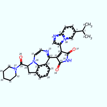 CC(C)c1ccc2ncc(C3=C(C4=NC=CN5c6c(cccc64)CC5C(=O)N4CCCCC4)C(=O)NC3=O)n2c1